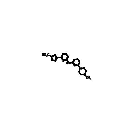 CN1CCN(c2cccc(Nc3nccc(-c4ccc(C(=O)O)s4)n3)c2)CC1